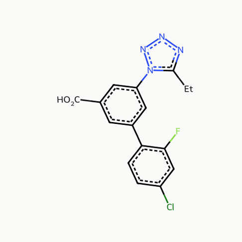 CCc1nnnn1-c1cc(C(=O)O)cc(-c2ccc(Cl)cc2F)c1